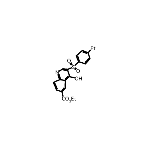 CCOC(=O)c1ccc2ncc(S(=O)(=O)c3ccc(CC)cc3)c(O)c2c1